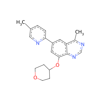 Cc1ccc(-c2cc(OC3CCOCC3)c3ncnc(C)c3c2)nc1